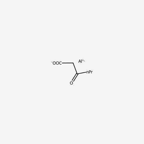 CCCC(=O)CC(=O)[O-].[Al+]